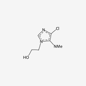 CNc1c(Cl)ncn1CCO